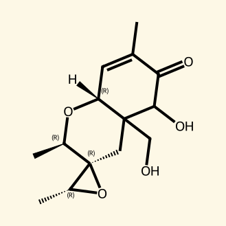 CC1=C[C@H]2O[C@H](C)[C@@]3(CC2(CO)C(O)C1=O)O[C@@H]3C